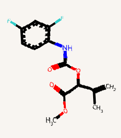 C=C(C)C(OC(=O)Nc1ccc(F)cc1F)C(=O)OC